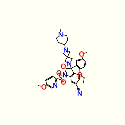 CCOc1ccc(OC)cc1C1(N2CC3(CN(C4CCN(C)CC4)C3)C2)C(=O)N(S(=O)(=O)c2ccc(OC)cn2)c2cc(C#N)ccc21